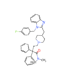 CN(C)C(=O)C(CCN1CCC(Cc2nc3ccccc3n2Cc2ccc(F)cc2)CC1)(c1ccccc1)c1ccccc1